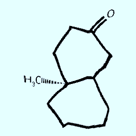 C[C@@]12CCCCC1CC(=O)CC2